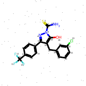 NC(=S)n1nc(-c2ccc(C(F)(F)F)cc2)c(Cc2cccc(Cl)c2)c1O